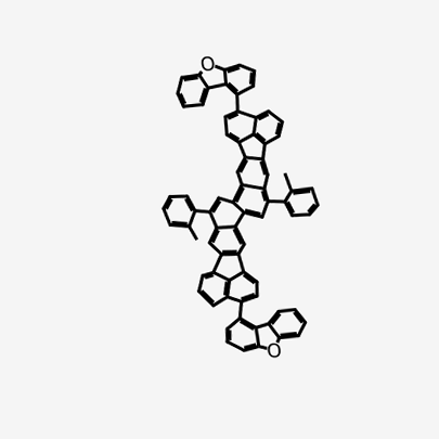 Cc1ccccc1-c1cc2c3cc4c(cc3c(-c3ccccc3C)cc2c2cc3c(cc12)-c1cccc2c(-c5cccc6oc7ccccc7c56)ccc-3c12)-c1cccc2c(-c3cccc5oc6ccccc6c35)ccc-4c12